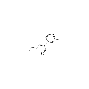 CCC/C=C(\C=O)c1cccc(C)c1